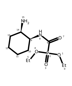 CCOP(=O)(OCC)C(=O)N[C@H]1CCCC[C@H]1N